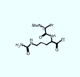 CCC(=O)C(CCCNC(N)=O)NC(=O)[C@@H](NC)C(C)C